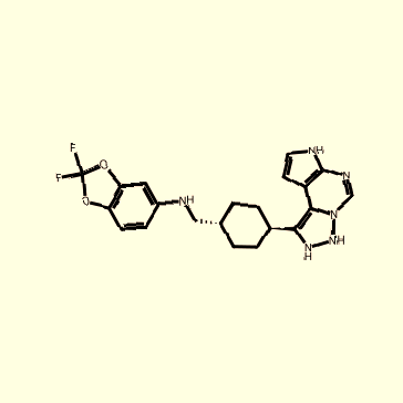 FC1(F)Oc2ccc(NC[C@H]3CC[C@H](C4=C5c6cc[nH]c6N=CN5NN4)CC3)cc2O1